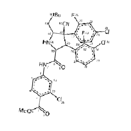 COC(=O)c1ccc(NC(=O)C2NC(CC(C)(C)C)C(C#N)(c3ccc(Cl)cc3F)C2c2cccc(Cl)c2F)cc1Cl